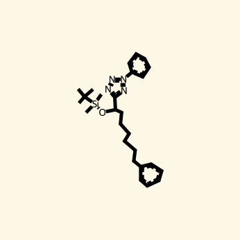 CC(C)(C)[Si](C)(C)OC(CCCCCCc1ccccc1)c1nnn(-c2ccccc2)n1